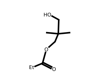 CCC(=O)OCC(C)(C)CO